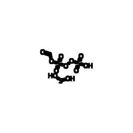 O=COS(=O)(=O)OOS(=O)(=O)O.OSO